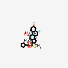 C[C@@H]1C[C@H]2[C@@H]3C[C@H](F)C4=CC(=O)C=C[C@]4(C)[C@@]3(F)[C@@H](O)C[C@]2(C)[C@@]1(OC(=O)C1CCCC1)C(=O)S